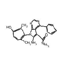 Cc1ccc(O)c(C)c1-n1c(N)c(C(N)=O)c2c(-c3ccccc3)ncnc21